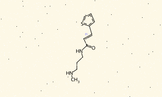 CNCCCNC(=O)/C=C/c1cccs1